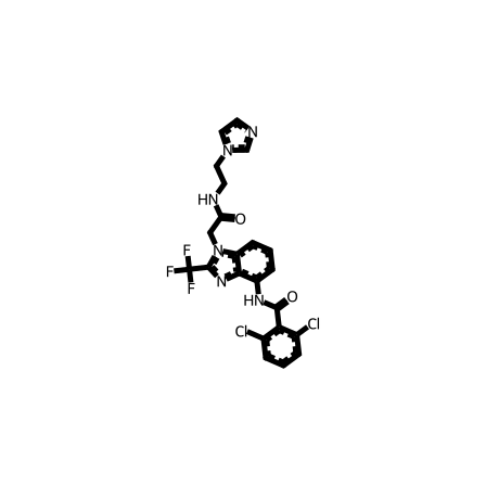 O=C(Cn1c(C(F)(F)F)nc2c(NC(=O)c3c(Cl)cccc3Cl)cccc21)NCCn1ccnc1